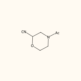 [C-]#[N+]C1CN(C(C)=O)CCO1